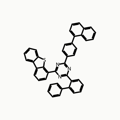 c1ccc(-c2ccccc2-c2nc(-c3ccc(-c4cccc5ccccc45)cc3)nc(-c3cccc4c3sc3ccccc34)n2)cc1